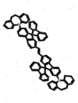 C1=CC2c3ccccc3C3(c4cc(/C=C/c5ccc6c(c5)C5(c7ccccc7-c7ccccc75)c5cc(N7C8=C(C=CCC8)CCc8ccccc87)ccc5-6)ccc4-c4ccc(N5c6ccccc6CCc6ccccc65)cc43)C2C=C1